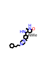 C=C1NC(=O)CCC1C(=N)C1=CCC(C)(N2CCN(CCCC3CCCCC3)CC2)C=C1NC